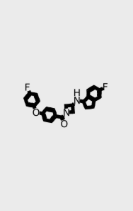 O=C(c1ccc(Oc2ccc(F)cc2)cc1)N1CC(NC2CCc3cc(F)ccc32)C1